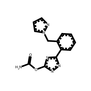 NC(=O)Oc1nnc(-c2ccccc2Cn2cccn2)s1